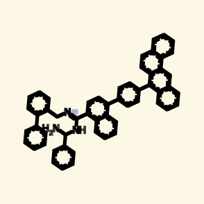 NC(N/C(=N\Cc1ccccc1-c1ccccc1)c1ccc(-c2ccc(-c3c4ccccc4cc4c3ccc3ccccc34)cc2)c2ccccc12)c1ccccc1